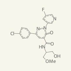 COCC(CO)NC(=O)c1cc(-c2ccc(Cl)cc2)nn(-c2cncc(F)c2)c1=O